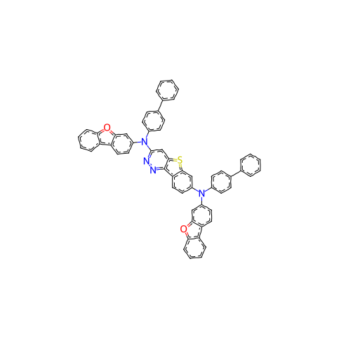 c1ccc(-c2ccc(N(c3ccc4c(c3)oc3ccccc34)c3ccc4c(c3)sc3cc(N(c5ccc(-c6ccccc6)cc5)c5ccc6c(c5)oc5ccccc56)nnc34)cc2)cc1